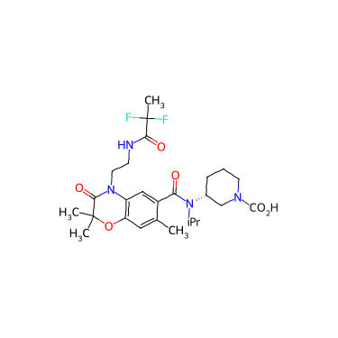 Cc1cc2c(cc1C(=O)N(C(C)C)[C@@H]1CCCN(C(=O)O)C1)N(CCNC(=O)C(C)(F)F)C(=O)C(C)(C)O2